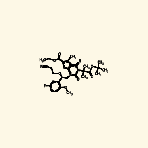 CCOC(=O)c1sc2c(c1C)c(=O)n(C(C)(C)C(=O)OC(C)(C)C)c(=O)n2C[C@H](OCCC#N)c1cc(F)ccc1OC